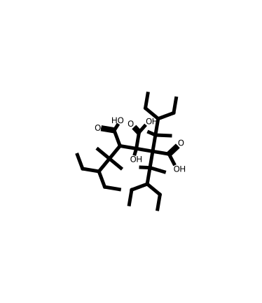 CCC(CC)C(C)(C)C(C(=O)O)C(O)(C(=O)O)C(C(=O)O)(C(C)(C)C(CC)CC)C(C)(C)C(CC)CC